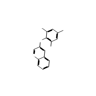 Cc1cc(S)c(Oc2cnc3ccccc3c2)c(Cl)c1